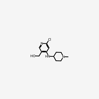 CN1CCC(Nc2cc(Cl)ncc2CO)CC1